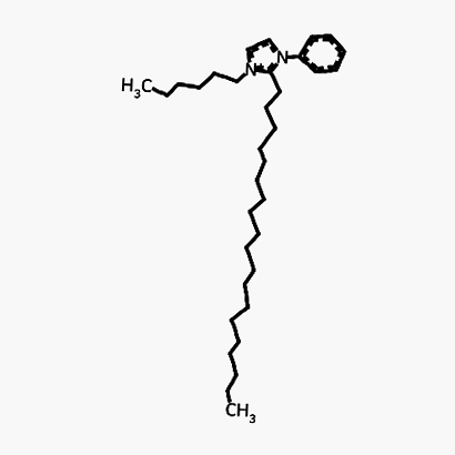 CCCCCCCCCCCCCCCCCCCc1n(-c2ccccc2)cc[n+]1CCCCCC